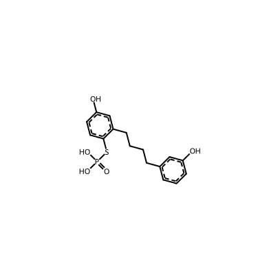 O=P(O)(O)Sc1ccc(O)cc1CCCCc1cccc(O)c1